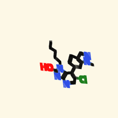 CCCCCn1c(O)nc2ncc(Cl)c(-c3ccc4cnn(C)c4c3)c21